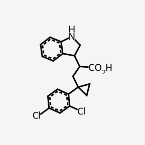 O=C(O)C(CC1(c2ccc(Cl)cc2Cl)CC1)C1CNc2ccccc21